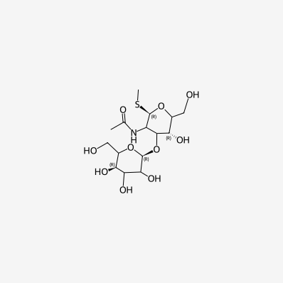 CS[C@H]1OC(CO)[C@H](O)C(O[C@@H]2OC(CO)[C@H](O)C(O)C2O)C1NC(C)=O